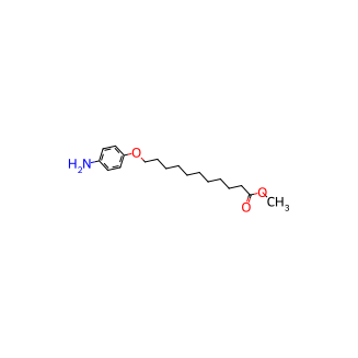 COC(=O)CCCCCCCCCCOc1ccc(N)cc1